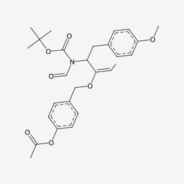 C/C=C(/OCc1ccc(OC(C)=O)cc1)C(Cc1ccc(OC)cc1)N(C=O)C(=O)OC(C)(C)C